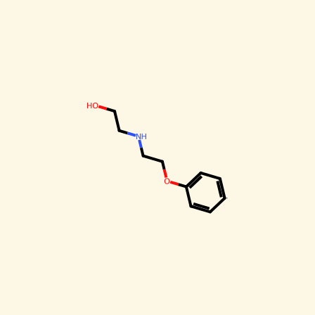 OCCNCCOc1cc[c]cc1